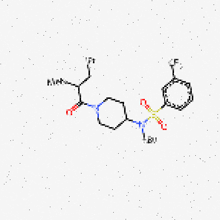 CCCCN(C1CCN(C(=O)C(CC(C)C)NC)CC1)S(=O)(=O)c1cccc(C(F)(F)F)c1